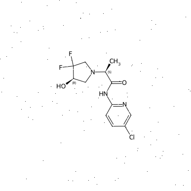 C[C@@H](C(=O)Nc1ccc(Cl)cn1)N1C[C@@H](O)C(F)(F)C1